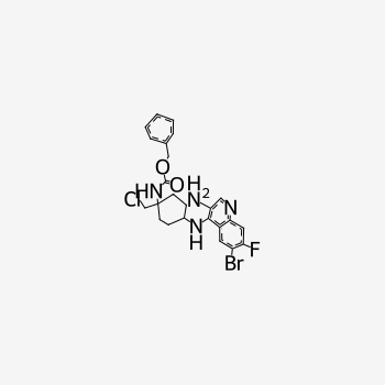 Nc1cnc2cc(F)c(Br)cc2c1NC1CCC(CCl)(NC(=O)OCc2ccccc2)CC1